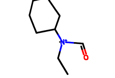 CC[N+](C=O)C1CCCCC1